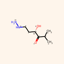 CC(C)C(=O)[C@@H](O)CCNN